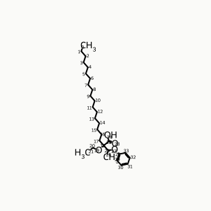 CCCCCCCCCCCCCCCCCCC(OCC)(C(=O)O)C(C)Oc1ccccc1